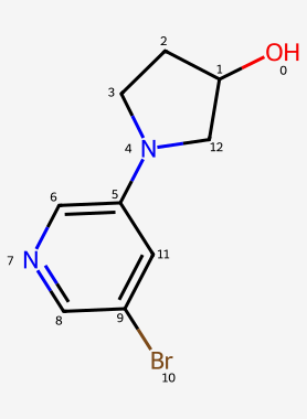 OC1CCN(c2cncc(Br)c2)C1